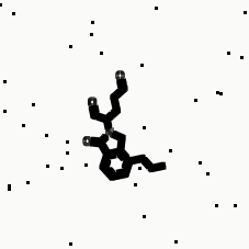 CCCc1cccc2c1CN(C(C=O)CCC=O)C2=O